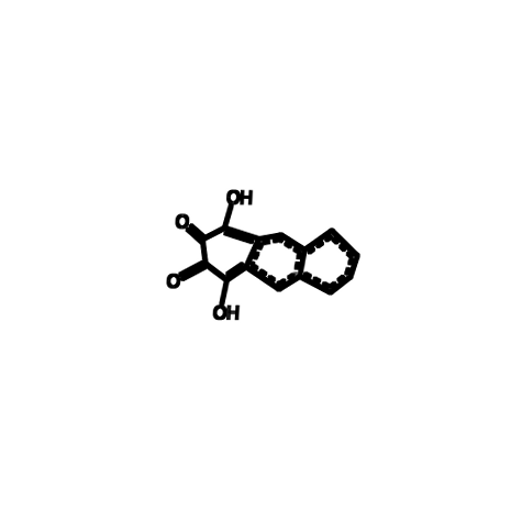 O=C1C(=O)C(O)=c2cc3ccccc3cc2=C1O